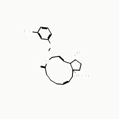 O=C1CCC/C=C\C[C@@H]2C(/C=C/[C@@H](COc3cccc(C(F)(F)F)c3)O1)[C@H](O)C[C@@H]2O